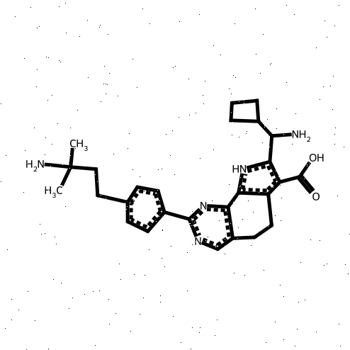 CC(C)(N)CCc1ccc(-c2ncc3c(n2)-c2[nH]c(C(N)C4CCC4)c(C(=O)O)c2CC3)cc1